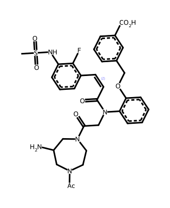 CC(=O)N1CCN(C(=O)CN(C(=O)/C=C\c2cccc(NS(C)(=O)=O)c2F)c2ccccc2OCc2cccc(C(=O)O)c2)CC(N)C1